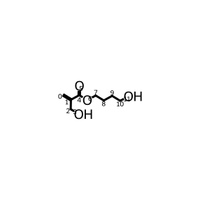 C=C(CO)C(=O)OCCCCO